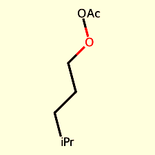 CC(=O)OOCCCC(C)C